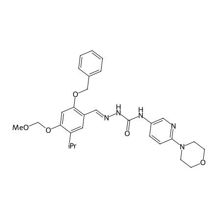 COCOc1cc(OCc2ccccc2)c(C=NNC(=O)Nc2ccc(N3CCOCC3)nc2)cc1C(C)C